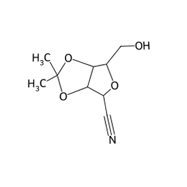 CC1(C)OC2C(C#N)OC(CO)C2O1